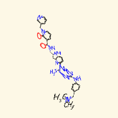 CN(C)Cc1ccc(Nc2nc(N)n(-c3ccc4c(n3)CC(CNC(=O)c3cccn(Cc5cccnc5)c3=O)N4)n2)cc1